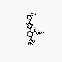 COC(=O)[C@H]1CN(C(=O)OC(C)(C)C)CC[C@H]1c1ccc(N2CC[C@H](O)C2)nc1